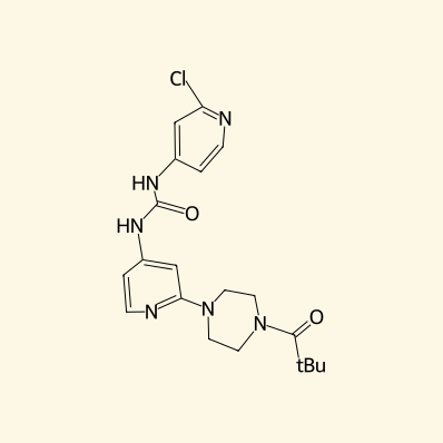 CC(C)(C)C(=O)N1CCN(c2cc(NC(=O)Nc3ccnc(Cl)c3)ccn2)CC1